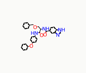 O=C(NC(COCc1ccccc1)C(=O)Nc1ccc(Oc2ccccc2)cc1)c1ccc2[nH]cnc2c1